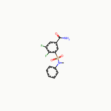 CN(c1ccccc1)S(=O)(=O)c1cc(C(N)=O)cc(F)c1F